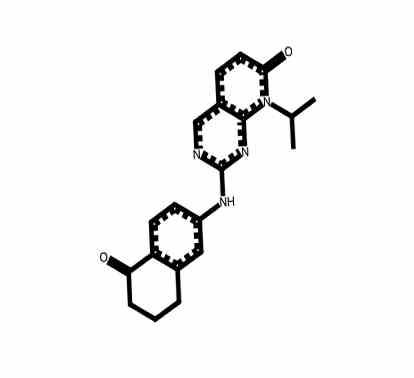 CC(C)n1c(=O)ccc2cnc(Nc3ccc4c(c3)CCCC4=O)nc21